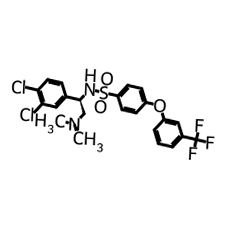 CN(C)C[C@H](NS(=O)(=O)c1ccc(Oc2cccc(C(F)(F)F)c2)cc1)c1ccc(Cl)c(Cl)c1